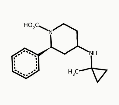 CC1(NC2CCN(C(=O)O)[C@H](c3ccccc3)C2)CC1